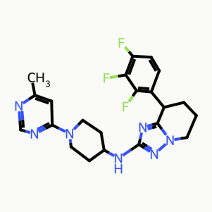 Cc1cc(N2CCC(Nc3nc4n(n3)CCCC4c3ccc(F)c(F)c3F)CC2)ncn1